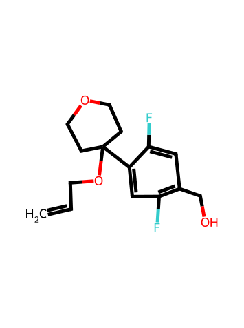 C=CCOC1(c2cc(F)c(CO)cc2F)CCOCC1